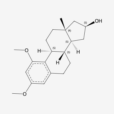 COc1cc2c(c(OC)c1)[C@H]1CC[C@]3(C)C[C@@H](O)C[C@H]3[C@@H]1CC2